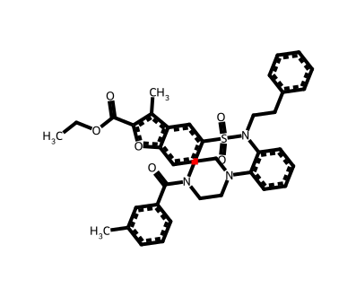 CCOC(=O)c1oc2ccc(S(=O)(=O)N(CCc3ccccc3)c3ccccc3N3CCN(C(=O)c4cccc(C)c4)CC3)cc2c1C